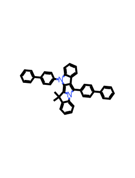 CC1(C)c2ccccc2-n2c(-c3ccc(-c4ccccc4)cc3)c3c4ccccc4n(-c4ccc(-c5ccccc5)cc4)c3c21